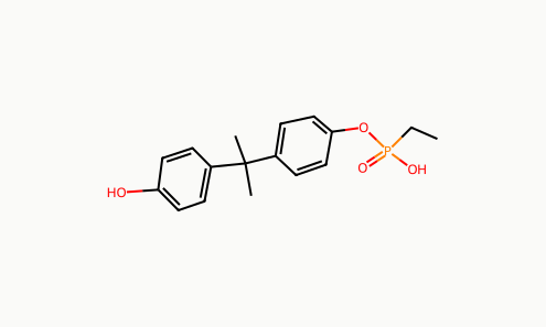 CCP(=O)(O)Oc1ccc(C(C)(C)c2ccc(O)cc2)cc1